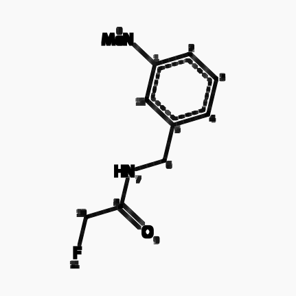 CNc1cccc(CNC(=O)CF)c1